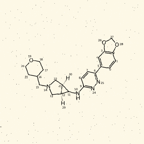 c1cc2c(cc1-c1ccc(NC3[C@H]4CN(CC5CCOCC5)C[C@@H]34)nn1)OCO2